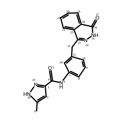 Cc1cc(C(=O)Nc2cccc(Cc3n[nH]c(=O)c4ccccc34)c2)n[nH]1